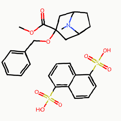 COC(=O)C1(OCc2ccccc2)CC2CCC(C1)N2C.O=S(=O)(O)c1cccc2c(S(=O)(=O)O)cccc12